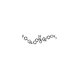 Cc1ccc(-c2ccc(C(=O)Nc3ccc4cc(CN5CCC(c6ccc(F)cc6)CC5)ccc4c3)cn2)cc1